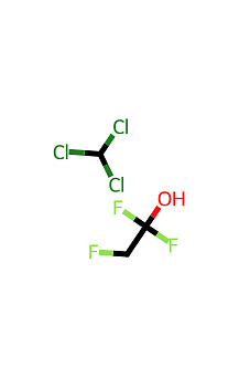 ClC(Cl)Cl.OC(F)(F)CF